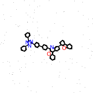 c1ccc(-c2nc(-c3ccccc3)nc(-c3ccc(-c4ccc(-c5nc6cc(-c7cccc8c7oc7ccccc78)ccc6c6c5oc5ccccc56)cc4)cc3)n2)cc1